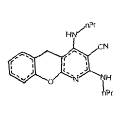 CCCNc1nc2c(c(NCCC)c1C#N)Cc1ccccc1O2